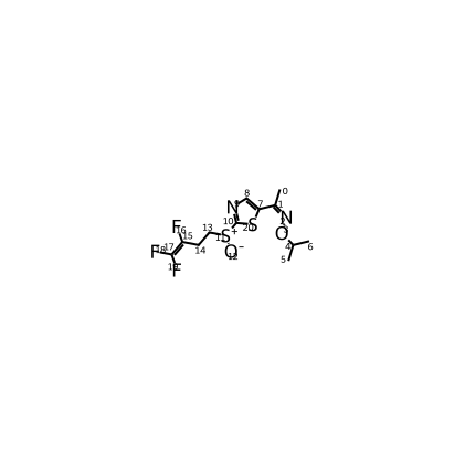 C/C(=N/OC(C)C)c1cnc([S+]([O-])CCC(F)=C(F)F)s1